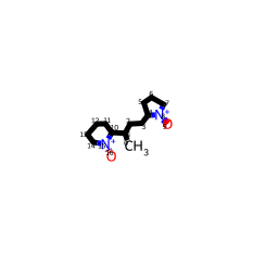 CC(CCC1CCC[N+]1=O)C1CCCC[N+]1=O